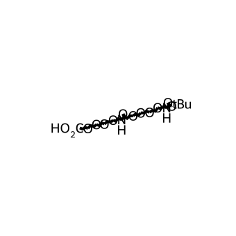 CC(C)(C)OC(=O)NCCOCCOCCOCCOCCC(=O)NCCOCCOCCOCCOCCC(=O)O